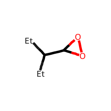 CCC(CC)C1OO1